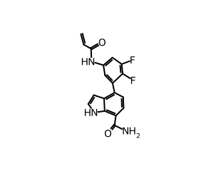 C=CC(=O)Nc1cc(F)c(F)c(-c2ccc(C(N)=O)c3[nH]ccc23)c1